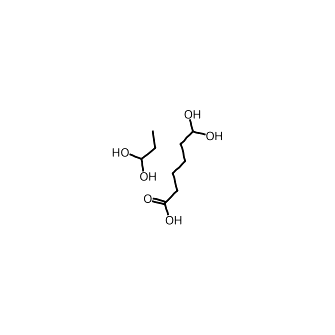 CCC(O)O.O=C(O)CCCCC(O)O